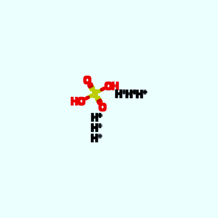 O=S(=O)(O)O.[H+].[H+].[H+].[H+].[H+].[H+]